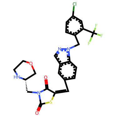 O=C1SC(=Cc2ccc3c(cnn3Cc3ccc(Cl)cc3C(F)(F)F)c2)C(=O)N1C[C@H]1COCCN1